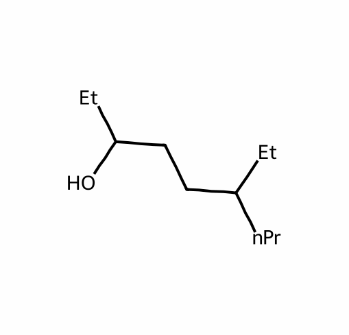 CCCC(CC)CCC(O)CC